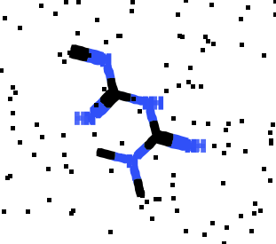 C=NC(=N)NC(=N)N(C)C